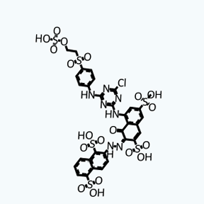 O=C1/C(=N\Nc2ccc3c(S(=O)(=O)O)cccc3c2S(=O)(=O)O)C(S(=O)(=O)O)=Cc2cc(S(=O)(=O)O)cc(Nc3nc(Cl)nc(Nc4ccc(S(=O)(=O)CCOS(=O)(=O)O)cc4)n3)c21